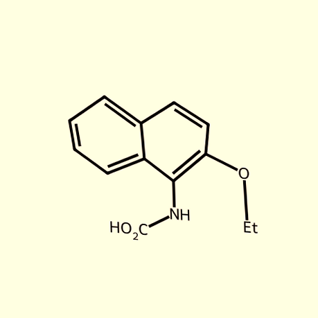 CCOc1ccc2ccccc2c1NC(=O)O